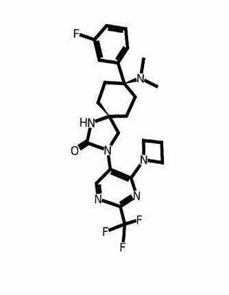 CN(C)[C@]1(c2cccc(F)c2)CC[C@@]2(CC1)CN(c1cnc(C(F)(F)F)nc1N1CCC1)C(=O)N2